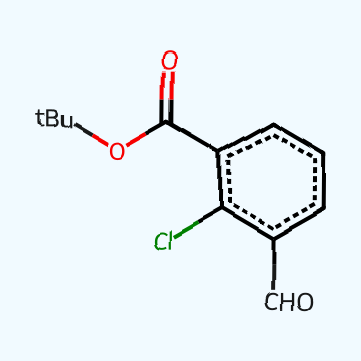 CC(C)(C)OC(=O)c1cccc(C=O)c1Cl